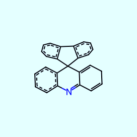 C1=CC2=Nc3ccccc3C3(C2=CC1)c1ccccc1-c1ccccc13